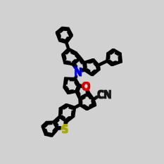 N#Cc1ccc(-c2ccc3c(c2)sc2ccccc23)c2c1oc1c(-n3c4ccc(-c5ccccc5)cc4c4cc(-c5ccccc5)ccc43)cccc12